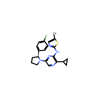 N#Cc1cnc(Nc2nc(N3CCC[C@H]3c3ccc(Cl)cc3)cnc2C2CC2)s1